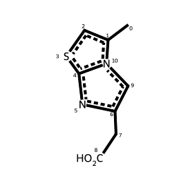 Cc1csc2nc(CC(=O)O)cn12